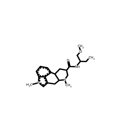 CCC(COC)NC(=O)C1CC2c3cccc4c3c(cn4C)CC2N(C)C1